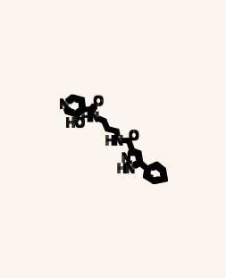 O=C(NCCCNC(=O)c1ccncc1O)c1cc(-c2ccccc2)[nH]n1